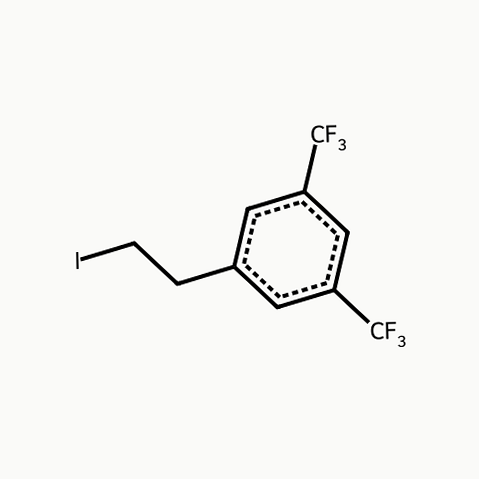 FC(F)(F)c1cc(CCI)cc(C(F)(F)F)c1